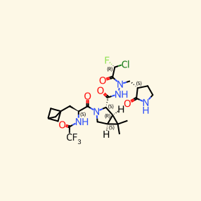 CC1(C)[C@@H]2[C@@H](C(=O)NN(C[C@@H]3CCNC3=O)C(=O)[C@H](F)Cl)N(C(=O)[C@H](CC34CC(C3)C4)NC(=O)C(F)(F)F)C[C@@H]21